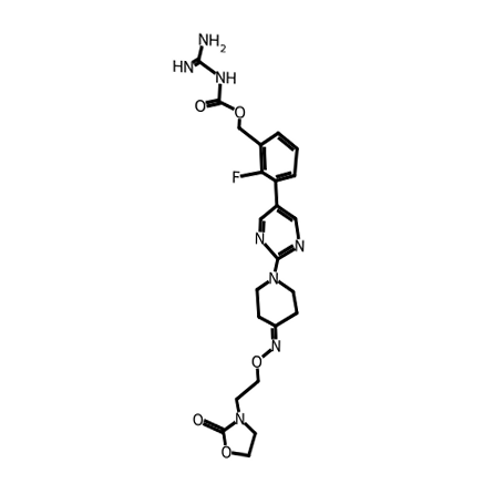 N=C(N)NC(=O)OCc1cccc(-c2cnc(N3CCC(=NOCCN4CCOC4=O)CC3)nc2)c1F